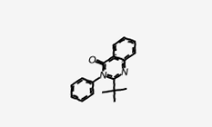 CC(C)(C)c1nc2ccccc2c(=O)n1-c1ccccc1